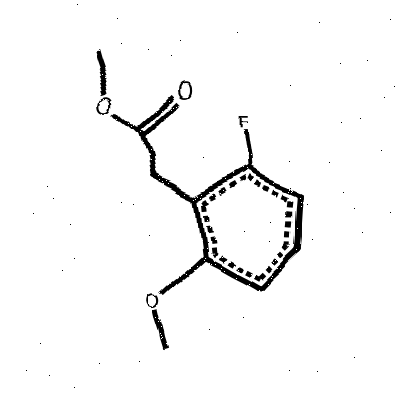 COC(=O)Cc1c(F)cccc1OC